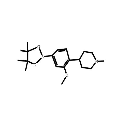 COc1cc(B2OC(C)(C)C(C)(C)O2)ccc1C1CCN(C)CC1